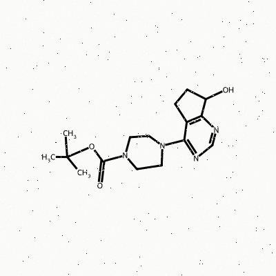 CC(C)(C)OC(=O)N1CCN(c2ncnc3c2CCC3O)CC1